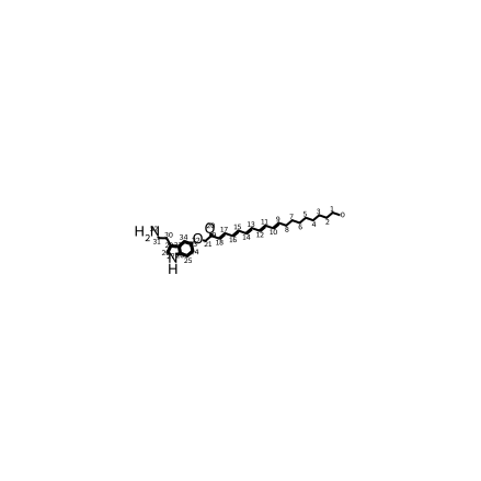 CCCCCCCCCC=CC=CC=CC=CC=CC(=O)COc1ccc2[nH]cc(CCN)c2c1